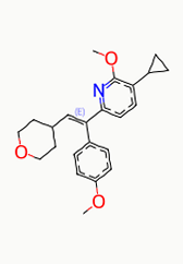 COc1ccc(/C(=C\C2CCOCC2)c2ccc(C3CC3)c(OC)n2)cc1